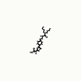 CCCCN(CCCC)C(=O)NCCc1ccc(-c2csc(NC(=O)O)n2)cc1